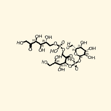 O=C(CO)[C@@H](O)[C@H](O)[C@H](O)COP(=O)(O)OCC(=O)[C@@H](OP(=O)(O)O[C@H]1O[C@H](CO)[C@@H](O)[C@H](O)[C@H]1O)[C@H](O)[C@H](O)CO